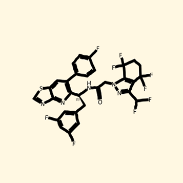 O=C(Cn1nc(C(F)F)c2c1C(F)(F)CCC2(F)F)N[C@@H](Cc1cc(F)cc(F)c1)c1nc2ncsc2cc1-c1ccc(F)cc1